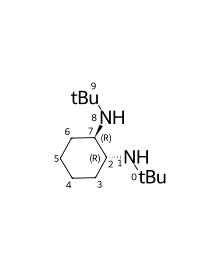 CC(C)(C)N[C@@H]1CCCC[C@H]1NC(C)(C)C